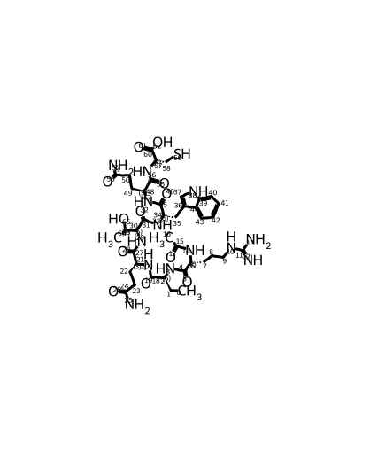 CC[C@H](NC(=O)[C@@H](CCCNC(=N)N)NC(C)=O)C(=O)N[C@@H](CCC(N)=O)C(=O)N[C@H](C(=O)N[C@@H](Cc1c[nH]c2ccccc12)C(=O)N[C@@H](CCC(N)=O)C(=O)N[C@@H](CS)C(=O)O)[C@@H](C)O